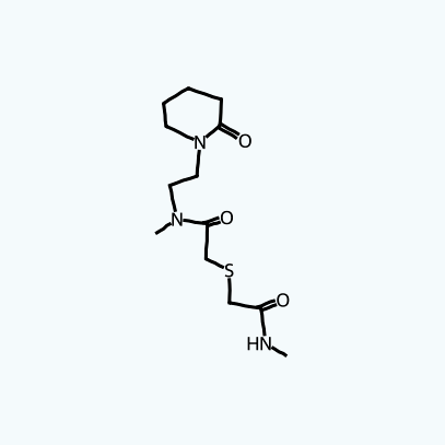 CNC(=O)CSCC(=O)N(C)CCN1CCCCC1=O